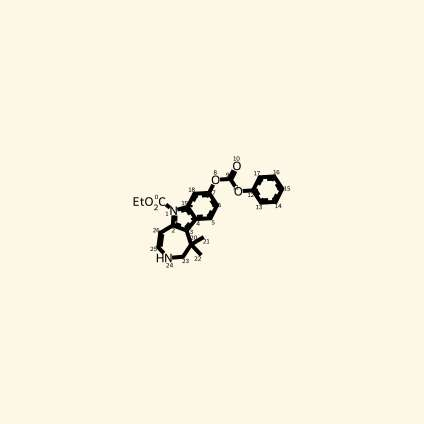 CCOC(=O)n1c2c(c3ccc(OC(=O)Oc4ccccc4)cc31)C(C)(C)CNC=C2